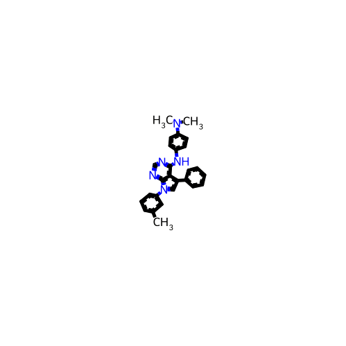 Cc1cccc(-n2cc(-c3ccccc3)c3c(Nc4ccc(N(C)C)cc4)ncnc32)c1